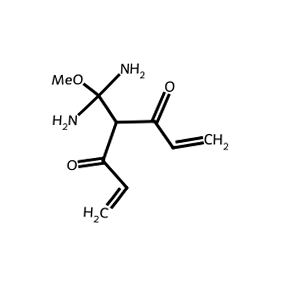 C=CC(=O)C(C(=O)C=C)C(N)(N)OC